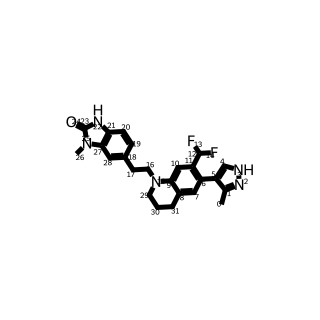 Cc1n[nH]cc1-c1cc2c(cc1C(F)F)N(CCc1ccc3[nH]c(=O)n(C)c3c1)CCC2